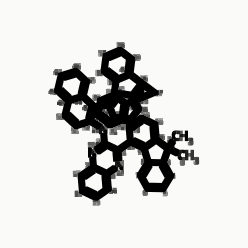 CC1(C)c2ccccc2-c2c(-c3nc4ccccc4nc3-n3c4ccc(C56CC5c5ccccc5-c5ccccc56)cc4c4c5ccccc5ccc43)cccc21